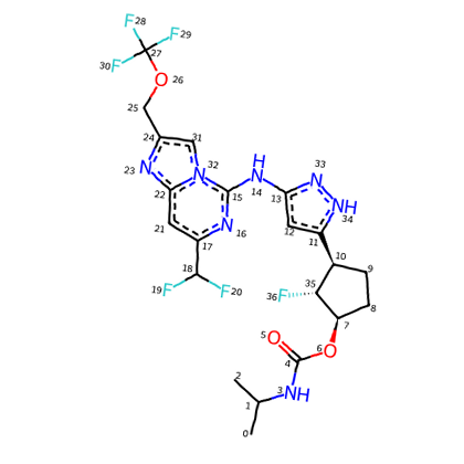 CC(C)NC(=O)O[C@@H]1CC[C@H](c2cc(Nc3nc(C(F)F)cc4nc(COC(F)(F)F)cn34)n[nH]2)[C@H]1F